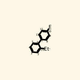 C[CH]c1ccccc1-c1ccc(F)cc1